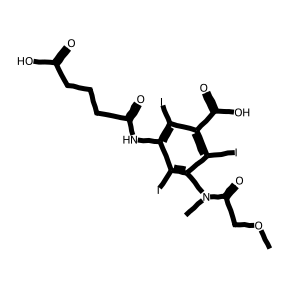 COCC(=O)N(C)c1c(I)c(NC(=O)CCCC(=O)O)c(I)c(C(=O)O)c1I